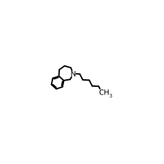 CCCCCCN1CCCc2ccccc2C1